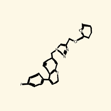 Fc1ccc(C2=CCOc3cc(Cn4cc(COC5CCCCO5)nn4)ccc32)cc1